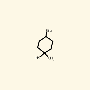 CC1(S)CCC(C(C)(C)C)CC1